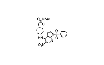 CNS(=O)(=O)C[C@H]1CC[C@H](Nc2c([N+](=O)[O-])cnc3c2ccn3S(=O)(=O)c2ccccc2)CC1